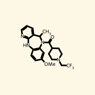 COc1ccc2c(c1)N(C(=O)C1CCN(CC(F)(F)F)CC1)C(C)c1cccnc1N2